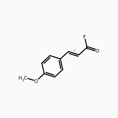 COc1ccc(/C=C/C(=O)F)cc1